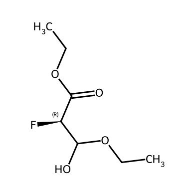 CCOC(=O)[C@H](F)C(O)OCC